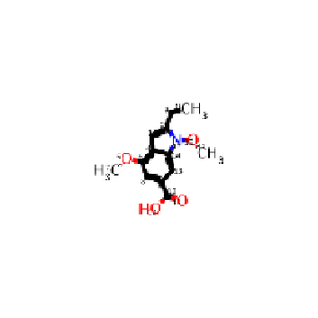 CCc1cc2c(OC)cc(C(=O)O)cc2n1OC